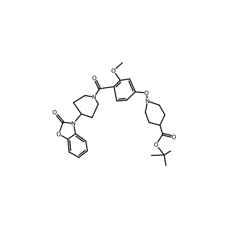 COc1cc(ON2CCC(C(=O)OC(C)(C)C)CC2)ccc1C(=O)N1CCC(n2c(=O)oc3ccccc32)CC1